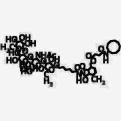 CC(=O)NC1C(OC2C(O)C(C)OC(OCCCCCC(=O)NN3C(=O)C4C(C)C=CC(COC(=O)CCC(=O)NC5CCCCCCCCC5)C4C3=O)C2O)OC(CO)C(O)C1OC1OC(CO)C(O)C(O)C1OC1OC(C)C(O)C(O)C1O